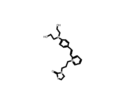 O=C1SCCN1CCC[n+]1ccccc1/C=C/c1ccc(N(CCO)CCO)cc1